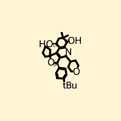 CC(C)(C)c1ccc([C@H]2OC3(CCCC3)c3c2c(C2CCOCC2)nc2c3[C@@H](O)CC(C)(C)[C@H]2O)cc1